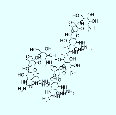 CN[C@@H]1[C@H](O[C@H]2[C@H](O[C@H]3[C@H](O)[C@@H](O)[C@H](NC(=N)N)[C@@H](O)[C@@H]3NC(=N)N)O[C@@H](C)[C@]2(O)C=O)O[C@@H](CO)[C@H](O)[C@H]1O.CN[C@@H]1[C@H](O[C@H]2[C@H](O[C@H]3[C@H](O)[C@@H](O)[C@H](NC(=N)N)[C@@H](O)[C@@H]3NC(=N)N)O[C@@H](C)[C@]2(O)C=O)O[C@@H](CO)[C@H](O)[C@H]1O.CN[C@@H]1[C@H](O[C@H]2[C@H](O[C@H]3[C@H](O)[C@@H](O)[C@H](NC(=N)N)[C@@H](O)[C@@H]3NC(=N)N)O[C@@H](C)[C@]2(O)C=O)O[C@@H](CO)[C@H](O)[C@H]1O